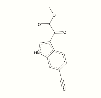 COC(=O)C(=O)c1c[nH]c2cc(C#N)ccc12